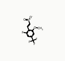 COc1cc(C(F)(F)F)cc(F)c1/C=C/[N+](=O)[O-]